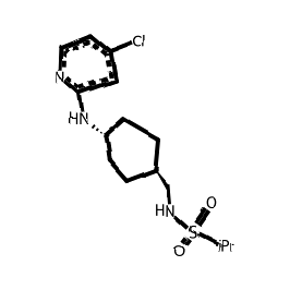 CC(C)S(=O)(=O)NC[C@H]1CC[C@H](Nc2cc(Cl)ccn2)CC1